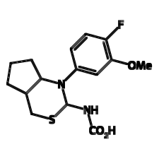 COc1cc(N2C(NC(=O)O)SCC3CCCC32)ccc1F